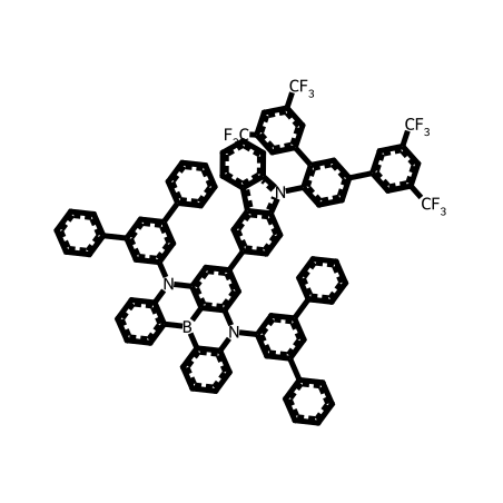 FC(F)(F)c1cc(-c2ccc(-n3c4ccccc4c4cc(-c5cc6c7c(c5)N(c5cc(-c8ccccc8)cc(-c8ccccc8)c5)c5ccccc5B7c5ccccc5N6c5cc(-c6ccccc6)cc(-c6ccccc6)c5)ccc43)c(-c3cc(C(F)(F)F)cc(C(F)(F)F)c3)c2)cc(C(F)(F)F)c1